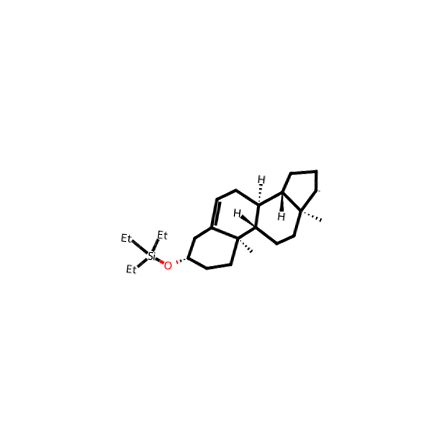 CC[Si](CC)(CC)O[C@H]1CC[C@@]2(C)C(=CC[C@H]3[C@@H]4CC[CH][C@@]4(C)CC[C@@H]32)C1